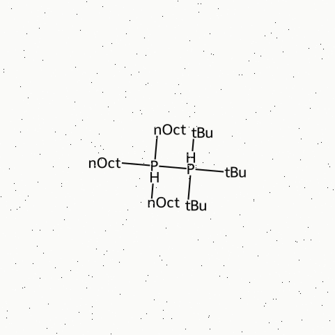 CCCCCCCC[PH](CCCCCCCC)(CCCCCCCC)[PH](C(C)(C)C)(C(C)(C)C)C(C)(C)C